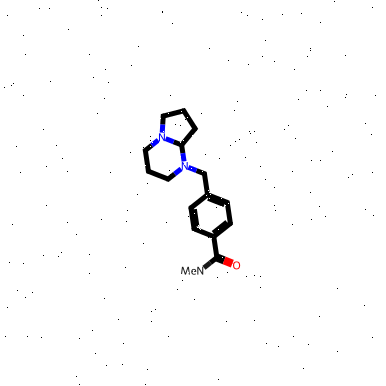 CNC(=O)c1ccc(CN2CCCN3CCCC32)cc1